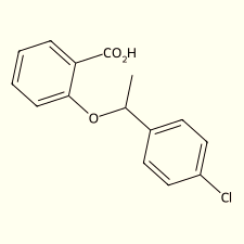 CC(Oc1ccccc1C(=O)O)c1ccc(Cl)cc1